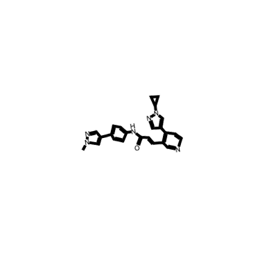 Cn1cc(-c2ccc(NC(=O)/C=C/c3cnccc3-c3cnn(C4CC4)c3)cc2)cn1